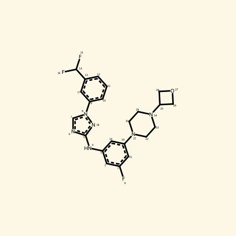 Fc1cc(Nc2ncn(-c3cccc(C(F)F)c3)n2)cc(N2CCN(C3COC3)CC2)c1